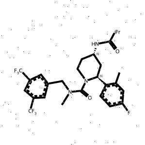 Cc1cc(F)ccc1[C@@H]1C[C@@H](NC(=O)C(C)C)CCN1C(=O)N(C)Cc1cc(C(F)(F)F)cc(C(F)(F)F)c1